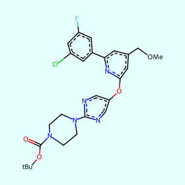 COCc1cc(Oc2cnc(N3CCN(C(=O)OC(C)(C)C)CC3)nc2)nc(-c2cc(F)cc(Cl)c2)c1